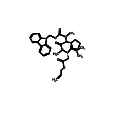 C=CCOC(=O)C[C@@H](C(=O)N(C)C)N(C)C(=O)[C@H](C1CCCC1)N(C)C(=O)OCC1c2ccccc2-c2ccccc21